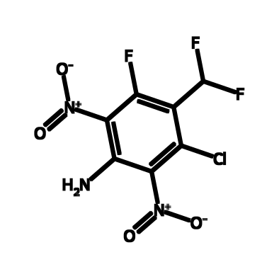 Nc1c([N+](=O)[O-])c(F)c(C(F)F)c(Cl)c1[N+](=O)[O-]